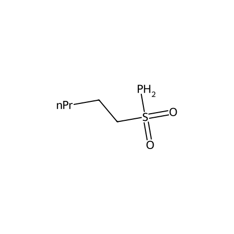 CCCCCS(=O)(=O)P